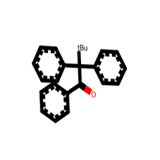 CC(C)(C)C(C(=O)c1ccccc1)(c1ccccc1)c1ccccc1